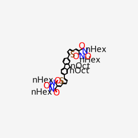 CCCCCCCCC1(CCCCCCCC)c2cc(-c3ccc(C=C4C(=O)N(CCCCCC)C(=O)N(CCCCCC)C4=O)s3)ccc2-c2ccc(-c3ccc(C=C4C(=O)N(CCCCCC)C(=O)N(CCCCCC)C4=O)s3)cc21